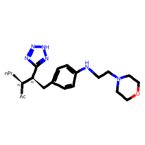 CCC[C@H](C(C)=O)[C@H](Cc1ccc(NCCN2CCOCC2)cc1)c1nn[nH]n1